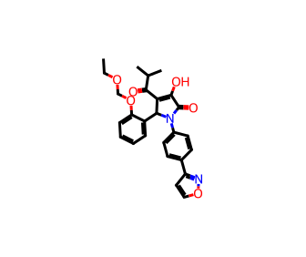 CCOCOc1ccccc1C1C(C(=O)C(C)C)=C(O)C(=O)N1c1ccc(-c2ccon2)cc1